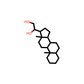 CC12CCCCC1CCC1C2CCC2(C)C(C(O)CO)CCC12